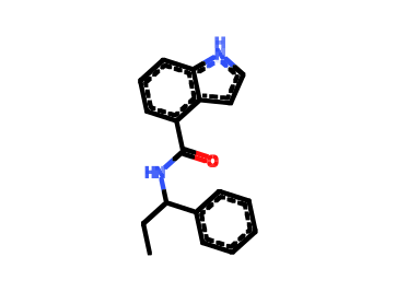 CCC(NC(=O)c1cccc2[nH]ccc12)c1ccccc1